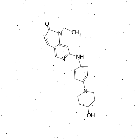 CCn1c(=O)ccc2cnc(Nc3ccc(N4CCC(O)CC4)cc3)cc21